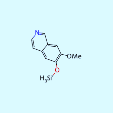 COc1cc2cnccc2cc1O[SiH3]